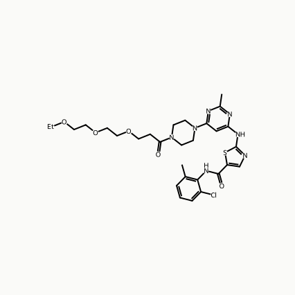 CCOCCOCCOCCC(=O)N1CCN(c2cc(Nc3ncc(C(=O)Nc4c(C)cccc4Cl)s3)nc(C)n2)CC1